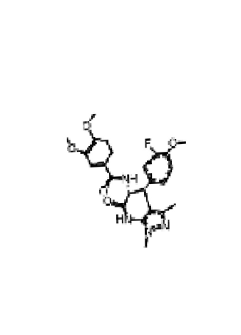 COC1=C(OC)CCC(C(=O)N[C@H]2C(=O)Nc3c(c(C)nn3C)[C@@H]2c2ccc(OC)c(F)c2)=C1